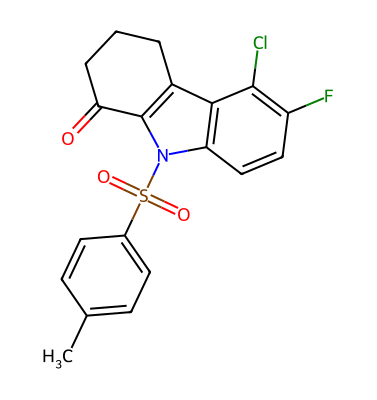 Cc1ccc(S(=O)(=O)n2c3c(c4c(Cl)c(F)ccc42)CCCC3=O)cc1